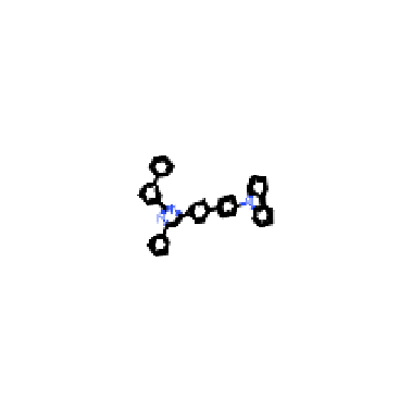 c1ccc(-c2cccc(-c3nc(-c4ccccc4)cc(-c4ccc(-c5ccc(-n6c7ccccc7c7ccccc76)cc5)cc4)n3)c2)cc1